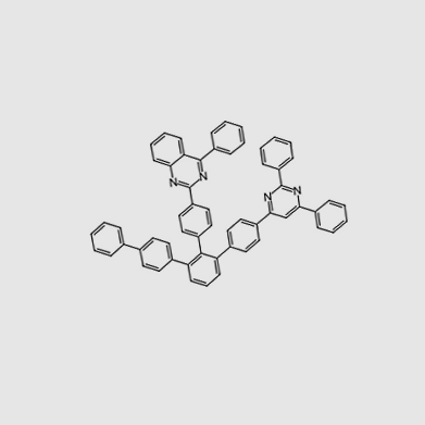 c1ccc(-c2ccc(-c3cccc(-c4ccc(-c5cc(-c6ccccc6)nc(-c6ccccc6)n5)cc4)c3-c3ccc(-c4nc(-c5ccccc5)c5ccccc5n4)cc3)cc2)cc1